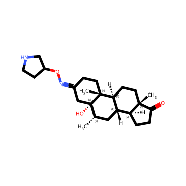 C[C@H]1C[C@H]2[C@@H]3CCC(=O)[C@@]3(C)CC[C@@H]2[C@@]2(C)CCC(=NOC3CCNC3)C[C@]12O